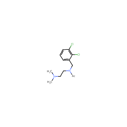 CC(=O)N(CCN(C)C)Cc1cccc(Cl)c1Cl